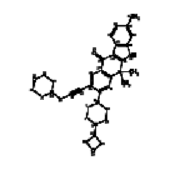 CC1(C)c2cc(N3CCN(C4COC4)CC3)c(C#CCN3CCOCC3)cc2C(=O)c2c1[nH]c1cc(N)ccc21